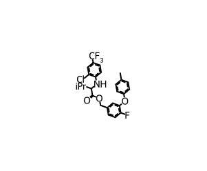 Cc1ccc(Oc2cc(COC(=O)C(Nc3ccc(C(F)(F)F)cc3Cl)C(C)C)ccc2F)cc1